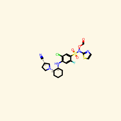 N#C[C@H]1CCN([C@H]2CCCC[C@@H]2Nc2cc(F)c(S(=O)(=O)N(OC=O)c3nccs3)cc2Cl)C1